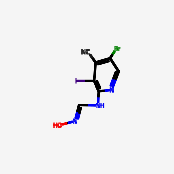 N#Cc1c(Br)cnc(N/C=N/O)c1I